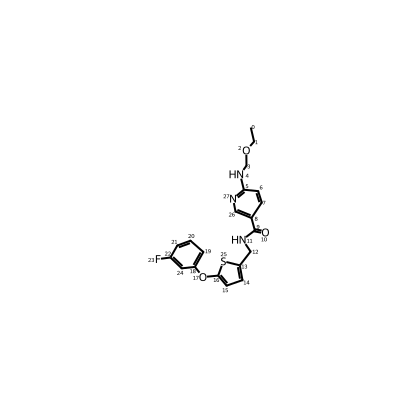 CCOCNc1ccc(C(=O)NCc2ccc(Oc3cccc(F)c3)s2)cn1